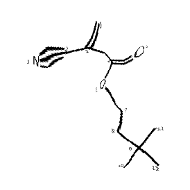 C=C(C#N)C(=O)OCCC(C)(C)C